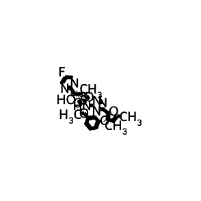 COc1cccc(OC)c1-n1c(NS(=O)(=O)[C@H](C)[C@H](O)c2ncc(F)cn2)nnc1-c1ccc(C)o1